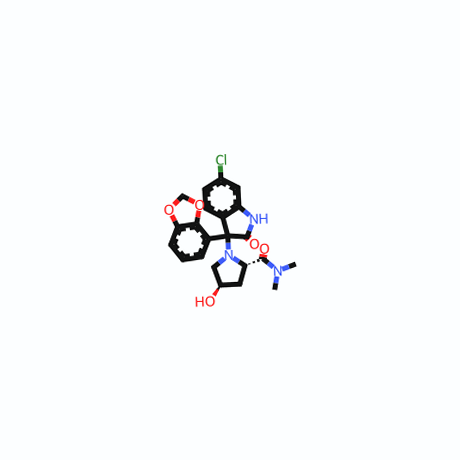 CN(C)C(=O)[C@@H]1C[C@@H](O)CN1C1(c2cccc3c2OCO3)C(=O)Nc2cc(Cl)ccc21